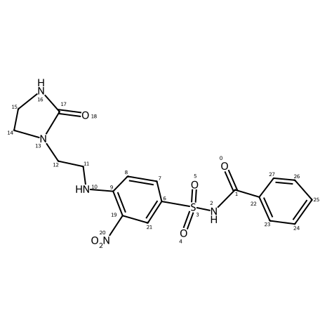 O=C(NS(=O)(=O)c1ccc(NCCN2CCNC2=O)c([N+](=O)[O-])c1)c1ccccc1